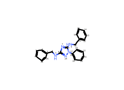 c1ccc(CNc2nc(NCc3ccccc3)n(-c3ccccc3)n2)cc1